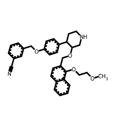 COCCOc1c(COC2CNCCC2c2ccc(OCc3cccc(C#N)c3)cc2)ccc2ccccc12